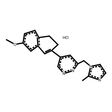 COc1ccc2c(c1)C=C(c1cnnc(Cn3ccnc3C)c1)CC2.Cl